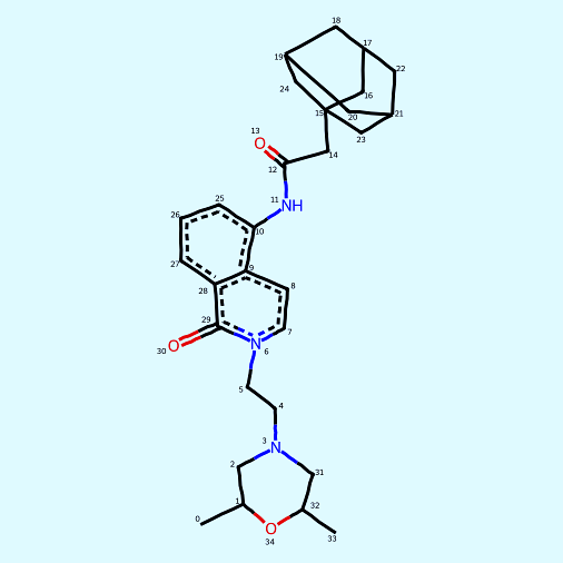 CC1CN(CCn2ccc3c(NC(=O)CC45CC6CC(CC(C6)C4)C5)cccc3c2=O)CC(C)O1